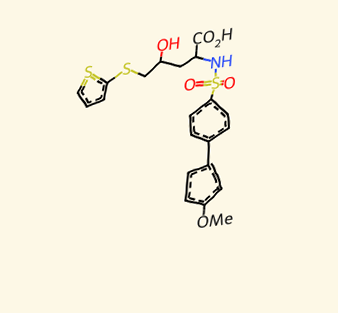 COc1ccc(-c2ccc(S(=O)(=O)NC(CC(O)CSc3cccs3)C(=O)O)cc2)cc1